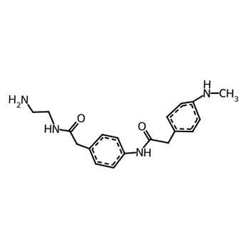 CNc1ccc(CC(=O)Nc2ccc(CC(=O)NCCN)cc2)cc1